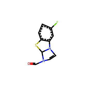 O=CN1C=CN2c3cc(F)ccc3SC12